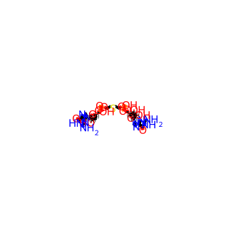 Nc1nc2c(ncn2[C@@H]2O[C@H](COP(=O)(O)OCCSCCOP(=O)(O)OC[C@@H]3C[C@@H](O)[C@H](n4cnc5c(=O)[nH]c(N)nc54)O3)[C@@H](O)[C@H]2O)c(=O)[nH]1